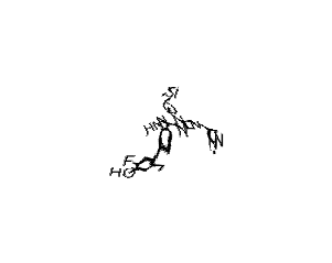 CCc1cc(O)c(F)cc1-c1ccc2c(-c3nc4c(n3COCC[Si](C)(C)C)CN(Cc3cnn(C)c3)C4)n[nH]c2c1